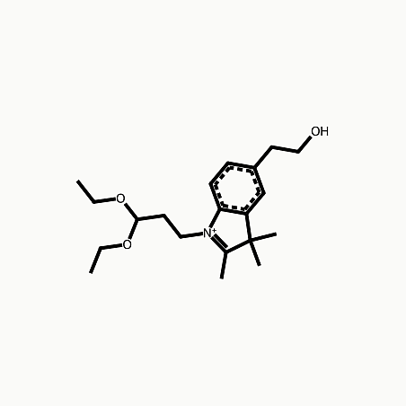 CCOC(CC[N+]1=C(C)C(C)(C)c2cc(CCO)ccc21)OCC